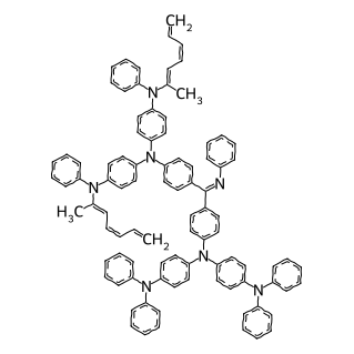 C=C/C=C\C=C(/C)N(c1ccccc1)c1ccc(N(c2ccc(/C(=N\c3ccccc3)c3ccc(N(c4ccc(N(c5ccccc5)c5ccccc5)cc4)c4ccc(N(c5ccccc5)c5ccccc5)cc4)cc3)cc2)c2ccc(N(/C(C)=C/C=C\C=C)c3ccccc3)cc2)cc1